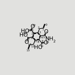 C=CCc1c(C(N)=O)c(C(=O)O)c(CC=C)c(C(=O)O)c1C(=O)O